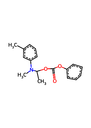 Cc1cccc(N(C)C(C)OC(=O)Oc2ccccc2)c1